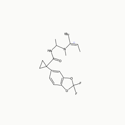 C/C=C(\N(C)C(C)NC(=O)C1(c2ccc3c(c2)OC(F)(F)O3)CC1)C(C)(C)C